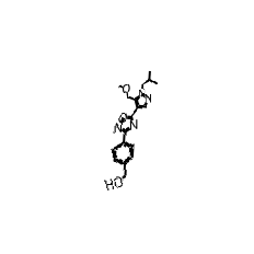 COCc1c(-c2nc(-c3ccc(CO)cc3)no2)cnn1CC(C)C